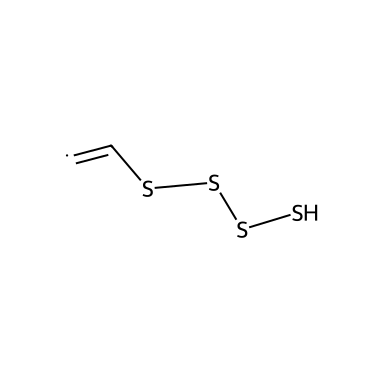 [CH]=CSSSS